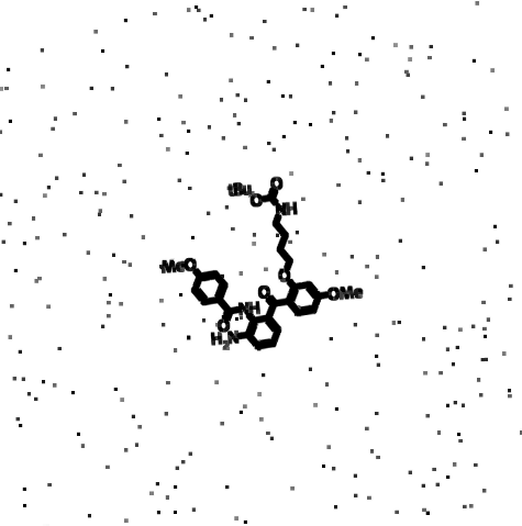 COc1ccc(C(=O)Nc2c(N)cccc2C(=O)c2ccc(OC)cc2OCCCCNC(=O)OC(C)(C)C)cc1